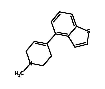 CN1CC=C(c2cccc3sccc23)CC1